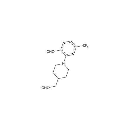 O=CCC1CCN(c2cc(C(F)(F)F)ccc2C=O)CC1